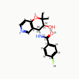 CC1(C)Oc2ccncc2[C@@H](NC(=O)c2ccc(F)cc2)[C@@H]1O